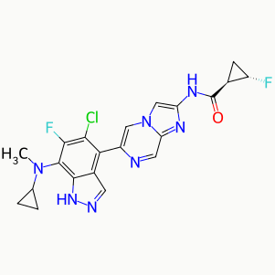 CN(c1c(F)c(Cl)c(-c2cn3cc(NC(=O)[C@H]4C[C@@H]4F)nc3cn2)c2cn[nH]c12)C1CC1